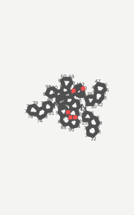 c1ccc(C2(C3(c4ccccc4)c4ccccc4-c4c3cc(N(c3ccc5c(ccc6ccccc65)c3)c3ccc5c(ccc6ccccc65)c3)c3ccccc43)c3ccccc3-c3c2cc(N(c2ccc4c(ccc5ccccc54)c2)c2ccc4c(ccc5ccccc54)c2)c2ccccc32)cc1